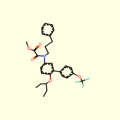 CCC(CC)Oc1ccc(N(CCCc2ccccc2)C(=O)C(=O)OC)cc1-c1ccc(OC(F)(F)F)cc1